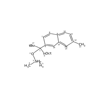 CCCCCCCCC(O[SiH](C)C)(c1ccc2ccc(C)nc2c1)C(C)(C)C